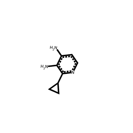 Nc1ccnc(C2CC2)c1N